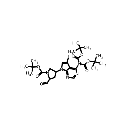 CC(C)(C)OC(=O)N(C(=O)OC(C)(C)C)c1ncnc2c1c(I)cn2C1CC(C=O)N(C(=O)OC(C)(C)C)C1